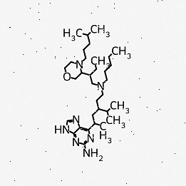 CCCCCN(CCC(CC(C)c1nc(N)nc2[nH]cnc12)C(C)C)CC(CC)C1COCCN1CCCC(C)C